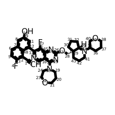 C#Cc1c(F)ccc2cc(O)cc(-c3ncc4c(N5CCCOCC5)nc(OC[C@]56CCC[C@H]5N(C5CCCOC5)CCC6)nc4c3F)c12